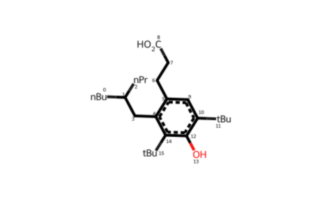 CCCCC(CCC)Cc1c(CCC(=O)O)cc(C(C)(C)C)c(O)c1C(C)(C)C